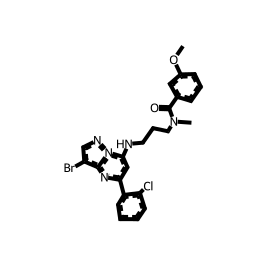 COc1cccc(C(=O)N(C)CCCNc2cc(-c3ccccc3Cl)nc3c(Br)cnn23)c1